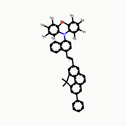 [2H]c1c([2H])c([2H])c(N(c2c([2H])c([2H])c([2H])c([2H])c2[2H])c2ccc(/C=C/c3cc4c5c(ccc6cc(-c7ccccc7)cc(c65)C4(C)C)c3)c3ccccc23)c([2H])c1[2H]